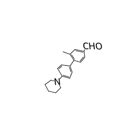 Cc1cc(C=O)ccc1-c1ccc(N2CCCCC2)cc1